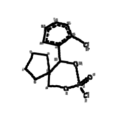 O=P1(Cl)OCC2(CCCC2)C(c2ccccc2Cl)O1